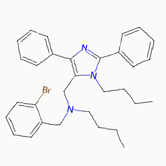 CCCCN(Cc1ccccc1Br)Cc1c(-c2ccccc2)nc(-c2ccccc2)n1CCCC